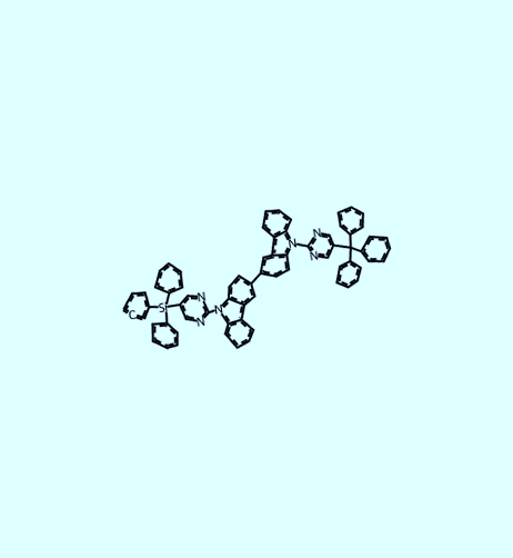 c1ccc(C(c2ccccc2)(c2ccccc2)c2cnc(-n3c4ccccc4c4cc(-c5ccc6c(c5)c5ccccc5n6-c5ncc([Si](c6ccccc6)(c6ccccc6)c6ccccc6)cn5)ccc43)nc2)cc1